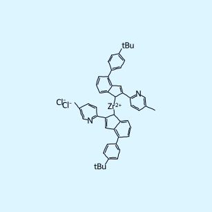 Cc1ccc(C2=Cc3c(-c4ccc(C(C)(C)C)cc4)cccc3[CH]2[Zr+2][CH]2C(c3ccc(C)cn3)=Cc3c(-c4ccc(C(C)(C)C)cc4)cccc32)nc1.[Cl-].[Cl-]